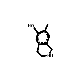 Cc1cc2c(cc1O)CCNC2